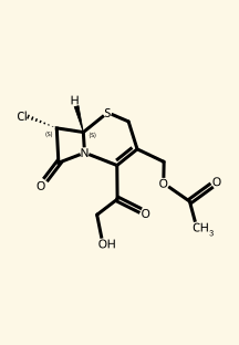 CC(=O)OCC1=C(C(=O)CO)N2C(=O)[C@H](Cl)[C@@H]2SC1